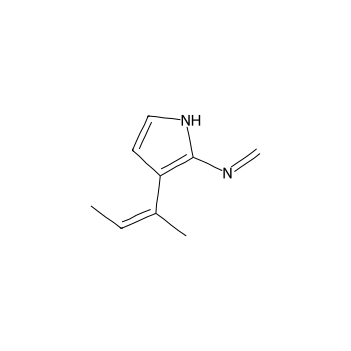 C=Nc1[nH]ccc1/C(C)=C\C